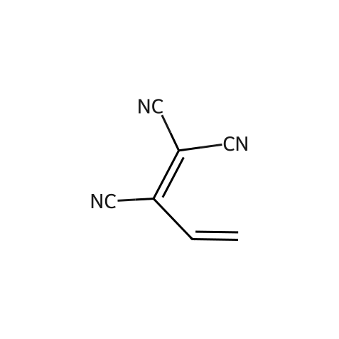 C=CC(C#N)=C(C#N)C#N